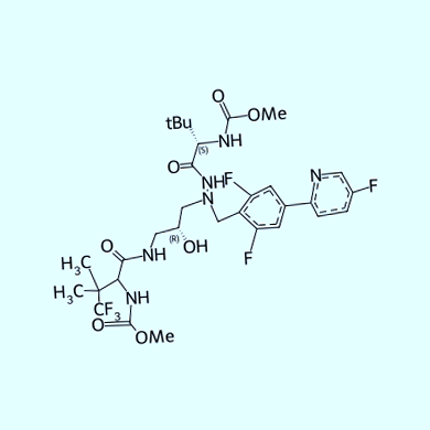 COC(=O)NC(C(=O)NC[C@@H](O)CN(Cc1c(F)cc(-c2ccc(F)cn2)cc1F)NC(=O)[C@@H](NC(=O)OC)C(C)(C)C)C(C)(C)C(F)(F)F